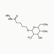 CCCCNC(=O)CCCCOC1OC(COC(C)=O)C(OC(C)=O)C(O)C1C